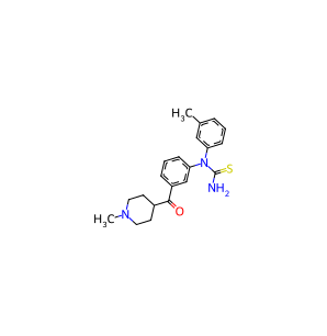 Cc1cccc(N(C(N)=S)c2cccc(C(=O)C3CCN(C)CC3)c2)c1